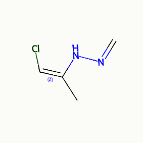 C=NN/C(C)=C\Cl